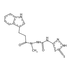 CN(NC(=O)Nc1n[nH]c(=S)s1)C(=O)CCc1c[nH]c2ccccc12